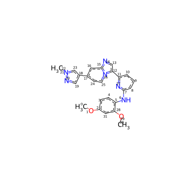 COc1ccc(Nc2cccc(-c3cnc4cc(-c5cnn(C)c5)ccn34)n2)c(OC)c1